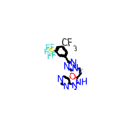 CN(NC(=O)/C=C\n1cnc(-c2cc(C(F)(F)F)cc(S(F)(F)(F)(F)F)c2)n1)c1ccncn1